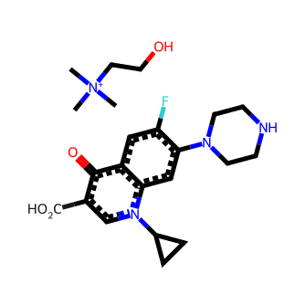 C[N+](C)(C)CCO.O=C(O)c1cn(C2CC2)c2cc(N3CCNCC3)c(F)cc2c1=O